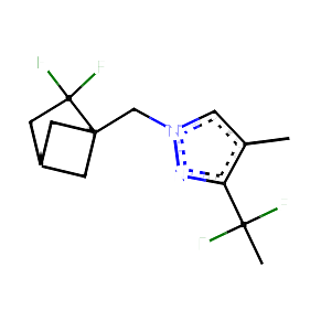 Cc1cn(CC23CC(CC2(F)F)C3)nc1C(C)(F)F